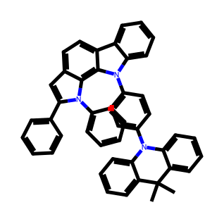 CC1(C)c2ccccc2N(c2ccc(-n3c4ccccc4c4ccc5cc(-c6ccccc6)n(-c6ccccc6)c5c43)cc2)c2ccccc21